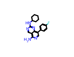 Nc1ncc(-c2ccc(F)cc2)c2nc(NC3CCCCC3)ncc12